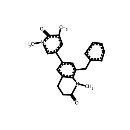 Cc1cc(-c2cc3c(c(Cc4ccccc4)c2)N(C)C(=O)CC3)cn(C)c1=O